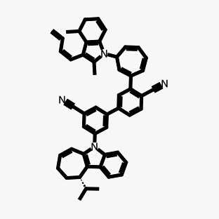 C=C/C=C\c1c2c(n(C3C=CC=CC(c4cc(-c5cc(C#N)cc(-n6c7c(c8ccccc86)[C@H](C(C)C)CCC=C7)c5)ccc4C#N)=C3)c1C)C=CCC2C